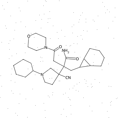 N#CC1(C(CC(=O)N2CCOCC2)(CC2C3CCCCC32)C(N)=O)CCN(C2CCCCC2)C1